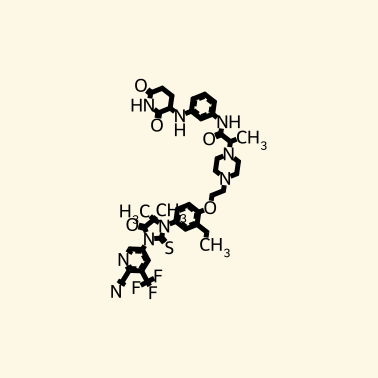 CCc1cc(N2C(=S)N(c3cnc(C#N)c(C(F)(F)F)c3)C(=O)C2(C)C)ccc1OCCN1CCN(C(C)C(=O)Nc2cccc(NC3CCC(=O)NC3=O)c2)CC1